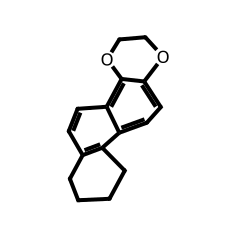 c1cc2c3c(ccc2c2c1CCCC2)OCCO3